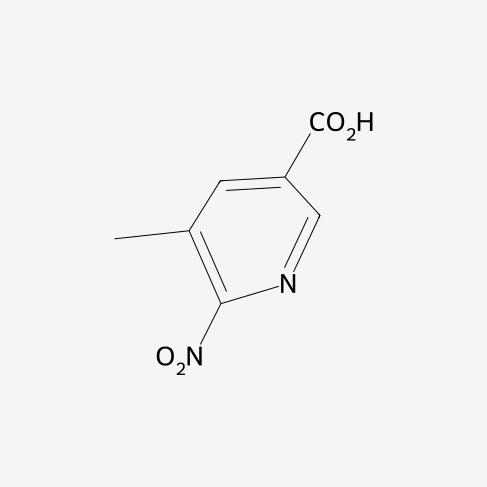 Cc1cc(C(=O)O)cnc1[N+](=O)[O-]